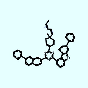 C/C=C\C=C/C1(C)C=CC(c2nc(-c3ccc4ccc(-c5ccccc5)cc4c3)nc(-c3cccc4oc5cc(-c6ccccc6)ccc5c34)n2)=CC1